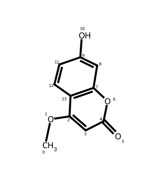 COc1cc(=O)oc2cc(O)ccc12